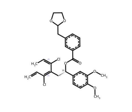 C=C/C(Cl)=C(C[C@H](OC(=O)c1cccc(CC2OCCO2)c1)c1ccc(OC)c(OC)c1)\C(Cl)=C/C